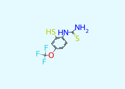 NC(=S)Nc1ccc(OC(F)(F)F)cc1S